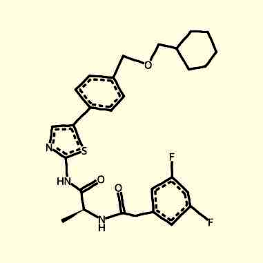 C[C@H](NC(=O)Cc1cc(F)cc(F)c1)C(=O)Nc1ncc(-c2ccc(COCC3CCCCC3)cc2)s1